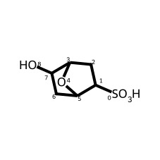 O=S(=O)(O)C1CC2OC1CC2O